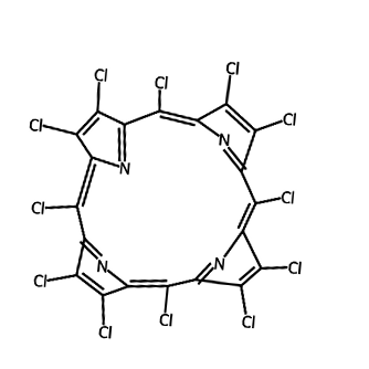 ClC1=C(Cl)C2=C(Cl)C3=NC(=C(Cl)C4=NC(=C(Cl)C5=NC(=C(Cl)C1=N2)C(Cl)=C5Cl)C(Cl)=C4Cl)C(Cl)=C3Cl